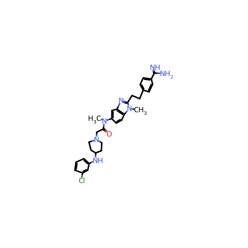 CN(C(=O)CN1CCC(Nc2cccc(Cl)c2)CC1)c1ccc2c(c1)nc(CCc1ccc(C(=N)N)cc1)n2C